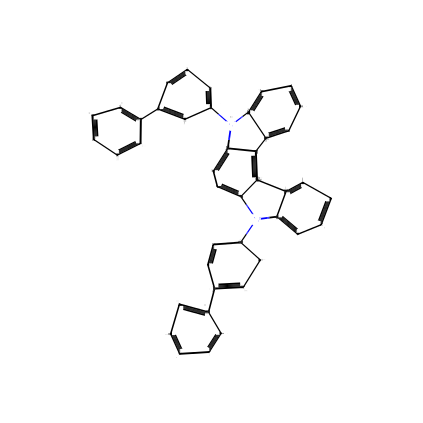 C1=CC(n2c3ccccc3c3c4c5ccccc5n(-c5cccc(-c6ccccc6)c5)c4ccc32)CC=C1c1ccccc1